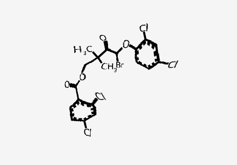 CC(C)(COC(=O)c1ccc(Cl)cc1Cl)C(=O)C(Br)Oc1ccc(Cl)cc1Cl